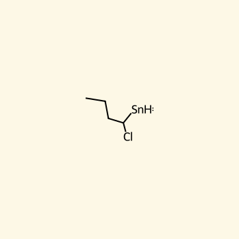 CCC[CH](Cl)[SnH]